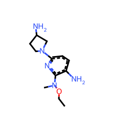 CCON(C)c1nc(N2CCC(N)C2)ccc1N